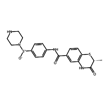 C[C@H]1Sc2ccc(C(=O)Nc3ccc([S+]([O-])N4CCNCC4)cc3)cc2NC1=O